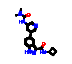 CN(C)C(=O)Nc1cncc(-c2ccc3[nH]nc(C(=O)NC4CCC4)c3c2)c1